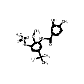 COc1c(NC(=O)c2ccc(C)c(O)c2)cc(C(C)(C)C)cc1NS(C)(=O)=O